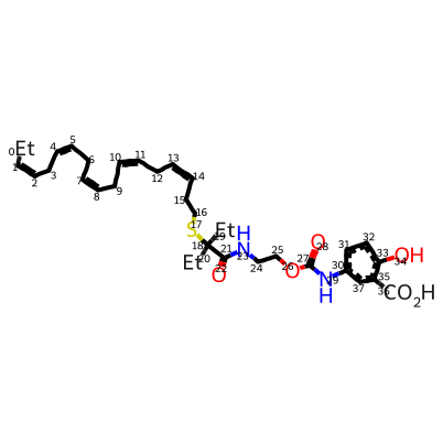 CC/C=C\C/C=C\C/C=C\C/C=C\C/C=C\CCSC(CC)(CC)C(=O)NCCOC(=O)Nc1ccc(O)c(C(=O)O)c1